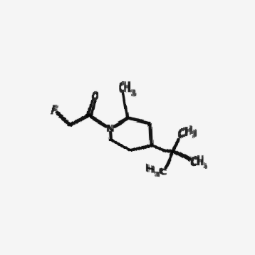 CC1CC(C(C)(C)C)CCN1C(=O)CF